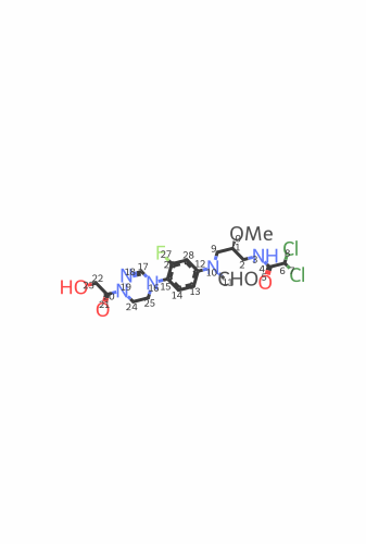 CO[C@@H](CNC(=O)C(Cl)Cl)CN(C=O)c1ccc(N2C=NN(C(=O)CO)CC2)c(F)c1